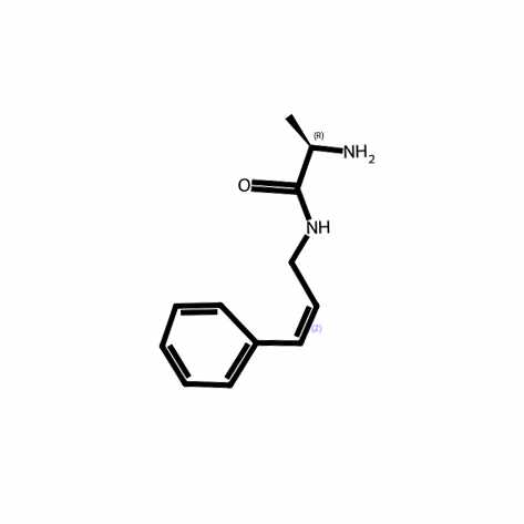 C[C@@H](N)C(=O)NC/C=C\c1ccccc1